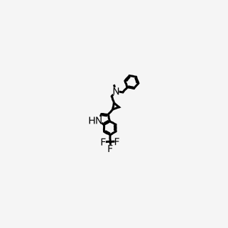 CN(Cc1ccccc1)CC1CC1c1c[nH]c2cc(C(F)(F)F)ccc12